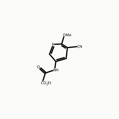 CCOC(=O)C(=O)Nc1cnc(OC)c(C#N)c1